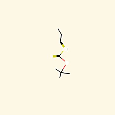 CCC=[SH]C(=S)OC(C)(C)C